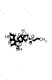 CCCS(=O)(=O)N1CCC2(C1)CC1(CC2(C)C)OB(O)c2cnc3[nH]ccc3c21